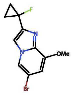 COc1cc(Br)cn2cc(C3(F)CC3)nc12